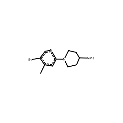 CCc1cnc(N2CCC(NC)CC2)cc1C